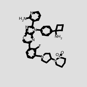 Nc1ncccc1-c1nc2ccc(-c3cccc(N4CCC(N5CCCCS5(=O)=O)CC4)c3F)nc2n1-c1ccc(C2(N)CCC2)cc1